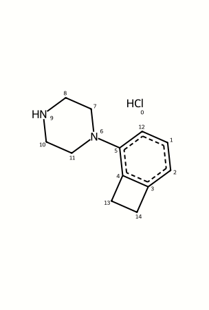 Cl.c1cc2c(c(N3CCNCC3)c1)CC2